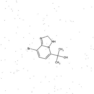 CC(C)(O)C1=CC=C(Br)C2=NCNN12